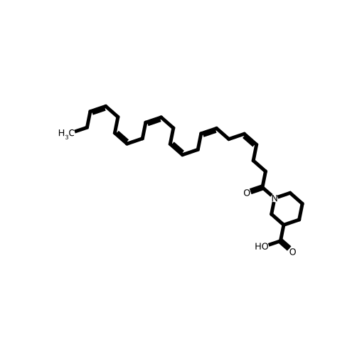 CC/C=C\C/C=C\C/C=C\C/C=C\C/C=C\C/C=C\CCC(=O)N1CCCC(C(=O)O)C1